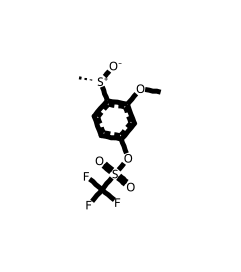 COc1cc(OS(=O)(=O)C(F)(F)F)ccc1[S@+](C)[O-]